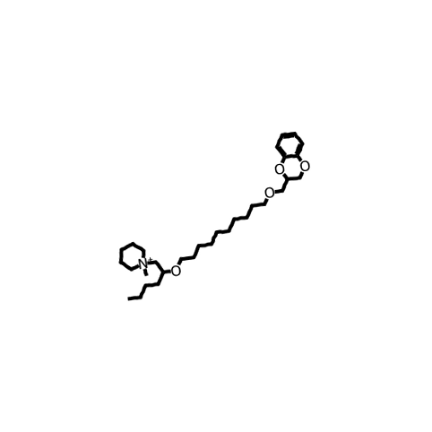 CCCCC(C[N+]1(C)CCCCC1)OCCCCCCCCCCOCC1COc2ccccc2O1